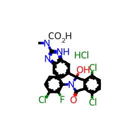 CN(C(=O)O)c1nc2ccc(C3(O)c4c(Cl)ccc(Cl)c4C(=O)N3c3cccc(Cl)c3F)cc2[nH]1.Cl